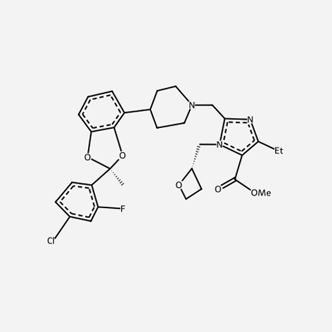 CCc1nc(CN2CCC(c3cccc4c3O[C@@](C)(c3ccc(Cl)cc3F)O4)CC2)n(C[C@@H]2CCO2)c1C(=O)OC